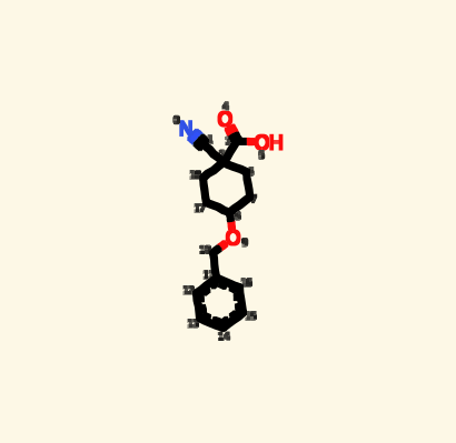 N#CC1(C(=O)O)CCC(OCc2ccccc2)CC1